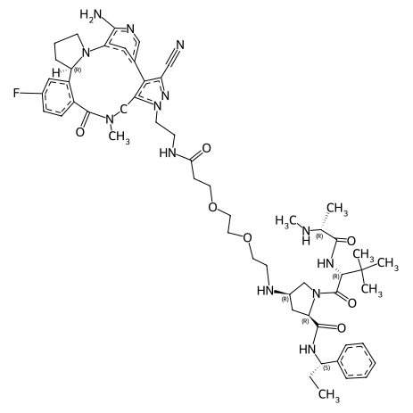 CC[C@H](NC(=O)[C@H]1C[C@@H](NCCOCCOCCC(=O)NCCn2nc(C#N)c3c2CN(C)C(=O)c2ccc(F)cc2[C@H]2CCCN2c2cc-3cnc2N)CN1C(=O)[C@H](NC(=O)[C@@H](C)NC)C(C)(C)C)c1ccccc1